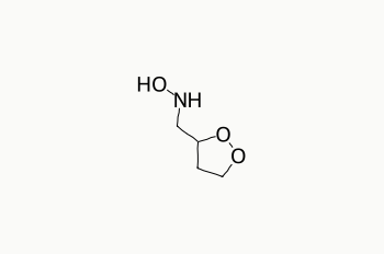 ONCC1CCOO1